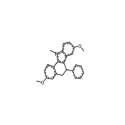 COc1ccc2c(c1)CC(c1ccccc1)c1c-2n(C)c2ccc(OC)cc12